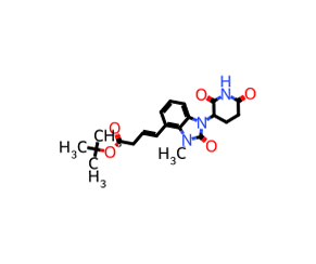 Cn1c(=O)n(C2CCC(=O)NC2=O)c2cccc(/C=C/CC(=O)OC(C)(C)C)c21